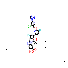 CC1(C)COC[C@H]1n1c(Cc2ccc(-c3ccc(F)c(OCc4cnc(-n5ccnn5)cc4Cl)n3)cc2F)nc2ccc(C(=O)O)cc21